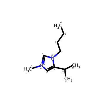 CCCCn1c[n+](C)cc1C(C)C